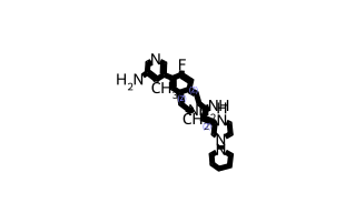 C=C(N)/C=c1/cc(-c2cncc(N)c2C)c(F)c/c1=C/CC(=N)/C=C1/CN(N2CCCCC2)CCN1